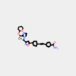 C[C@H](OC1CCCCO1)c1nccn1Cc1cc(-c2ccc(C#Cc3ccc(C(N)=O)cc3)cc2)on1